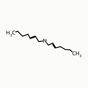 CCCCC=CC[N]CC=CCCCC